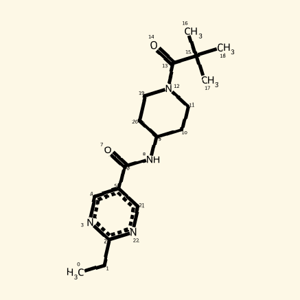 CCc1ncc(C(=O)NC2CCN(C(=O)C(C)(C)C)CC2)cn1